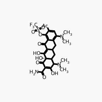 CC(=O)c1cc(N(C)C)c2c(c1OS(=O)(=O)C(F)(F)F)C(=O)C1=C(O)[C@]3(O)C(=O)C(C(N)=O)=C(O)C(N(C)C)C3CC1C2